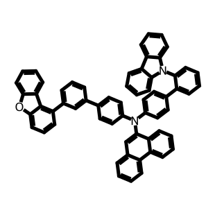 c1cc(-c2ccc(N(c3ccc(-c4ccccc4-n4c5ccccc5c5ccccc54)cc3)c3cc4ccccc4c4ccccc34)cc2)cc(-c2cccc3oc4ccccc4c23)c1